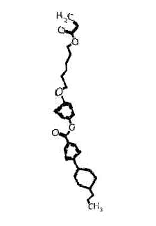 C=CC(=O)OCCCCCCOc1ccc(OC(=O)c2ccc(C3CCC(CCC)CC3)cc2)cc1